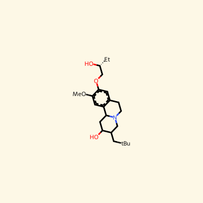 CC[C@@H](O)COc1cc2c(cc1OC)C1CC(O)C(CC(C)(C)C)CN1CC2